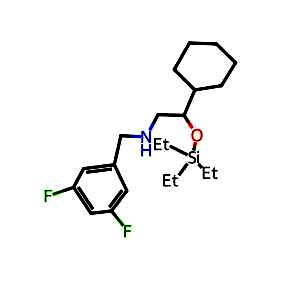 CC[Si](CC)(CC)OC(CNCc1cc(F)cc(F)c1)C1CCCCC1